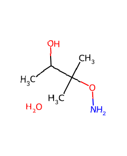 CC(O)C(C)(C)ON.O